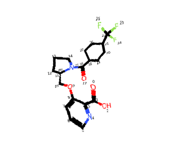 O=C(O)c1ncccc1OC[C@H]1CCCN1C(=O)C1CCC(C(F)(F)F)CC1